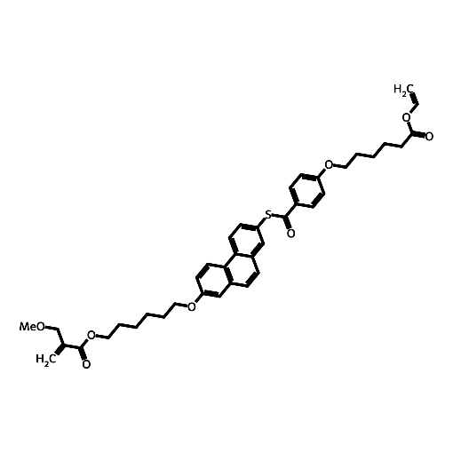 C=COC(=O)CCCCCOc1ccc(C(=O)Sc2ccc3c(ccc4cc(OCCCCCCOC(=O)C(=C)COC)ccc43)c2)cc1